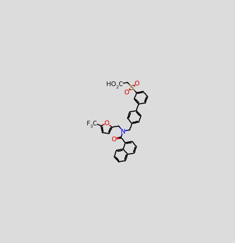 O=C(O)CS(=O)(=O)c1cccc(-c2ccc(CN(Cc3ccc(C(F)(F)F)o3)C(=O)c3cccc4ccccc34)cc2)c1